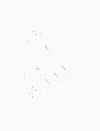 O=C(O)O.O=C([O-])O.O=C([O-])O.O=C([O-])O.[Na+].[Na+].[Na+]